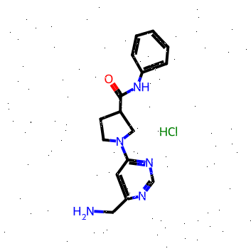 Cl.NCc1cc(N2CCC(C(=O)Nc3ccccc3)C2)ncn1